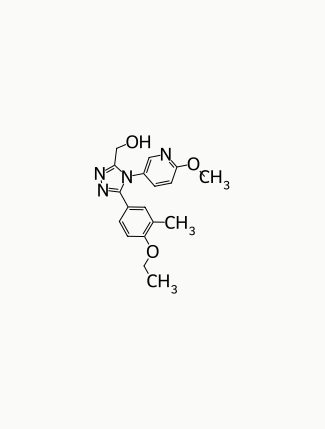 CCOc1ccc(-c2nnc(CO)n2-c2ccc(OC)nc2)cc1C